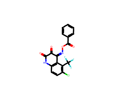 O=C1Nc2ccc(Cl)c(C(F)(F)F)c2C(=NOC(=O)c2ccccc2)C1=O